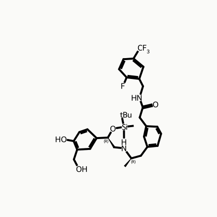 C[C@H](Cc1cccc(CC(=O)NCc2cc(C(F)(F)F)ccc2F)c1)NC[C@H](O[Si](C)(C)C(C)(C)C)c1ccc(O)c(CO)c1